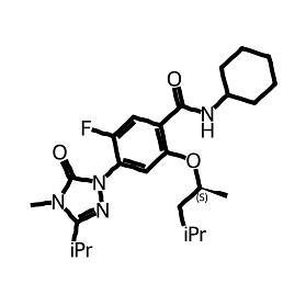 CC(C)C[C@H](C)Oc1cc(-n2nc(C(C)C)n(C)c2=O)c(F)cc1C(=O)NC1CCCCC1